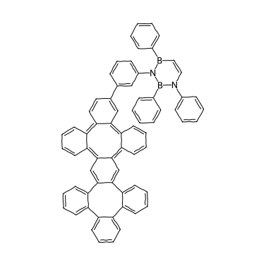 C1=CN(c2ccccc2)B(c2ccccc2)N(c2cccc(-c3ccc4c5ccccc5c5cc6c7ccccc7c7ccccc7c7ccccc7c6cc5c5ccccc5c4c3)c2)B1c1ccccc1